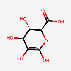 O=C(O)[C@H]1OC(O)=C(O)[C@@H](O)[C@@H]1O